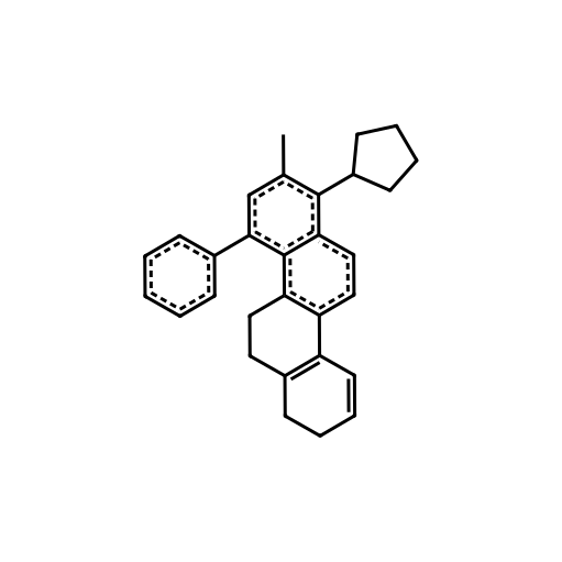 Cc1cc(-c2ccccc2)c2c3c(ccc2c1C1CCCC1)C1=C(CCC=C1)CC3